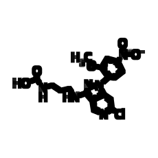 COc1cc([N+](=O)[O-])ccc1-n1nc(NCCCNC(=O)O)c2cnc(Cl)cc21